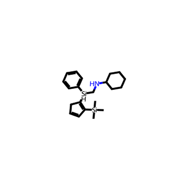 C[Si](C)(C)C1=C([SiH](CNC2CCCCC2)c2ccccc2)CC=C1